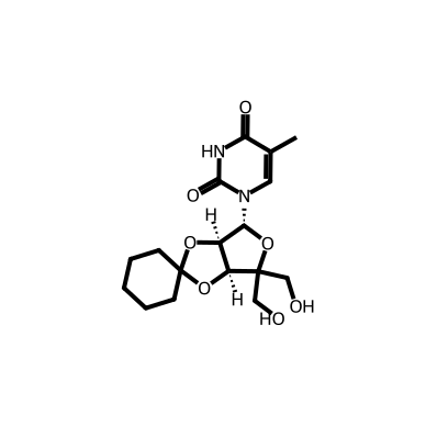 Cc1cn([C@@H]2OC(CO)(CO)[C@H]3OC4(CCCCC4)O[C@@H]23)c(=O)[nH]c1=O